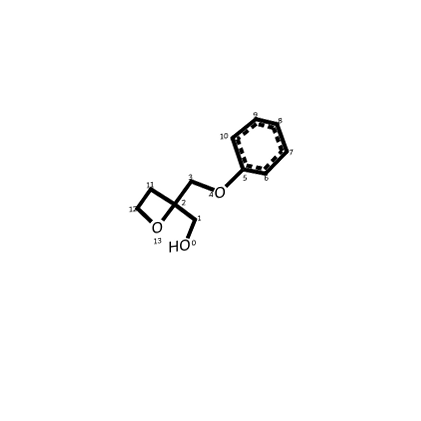 OCC1(COc2ccccc2)CCO1